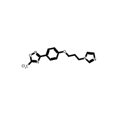 ClC(Cl)(Cl)c1nc(-c2ccc(OCCCn3ccnc3)cc2)no1